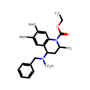 CCOC(=O)N(Cc1ccccc1)C1CC(C)N(C(=O)OCC(F)(F)F)c2cc(OC)c(OC)cc21